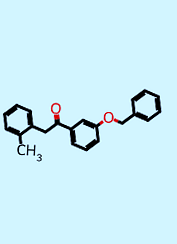 Cc1ccccc1CC(=O)c1cccc(OCc2ccccc2)c1